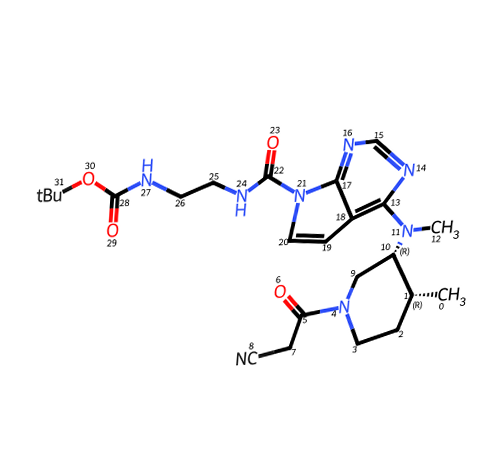 C[C@@H]1CCN(C(=O)CC#N)C[C@@H]1N(C)c1ncnc2c1ccn2C(=O)NCCNC(=O)OC(C)(C)C